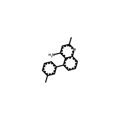 Cc1cccc(-c2cccc3nc(C)cc(N)c23)c1